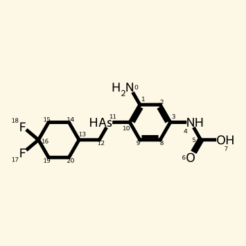 Nc1cc(NC(=O)O)ccc1[AsH]CC1CCC(F)(F)CC1